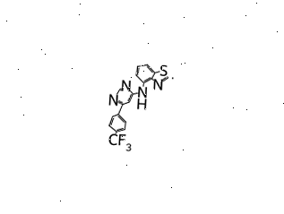 FC(F)(F)c1ccc(-c2cc(Nc3cccc4s[c]nc34)ncn2)cc1